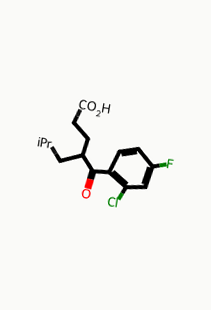 CC(C)CC(CCC(=O)O)C(=O)c1ccc(F)cc1Cl